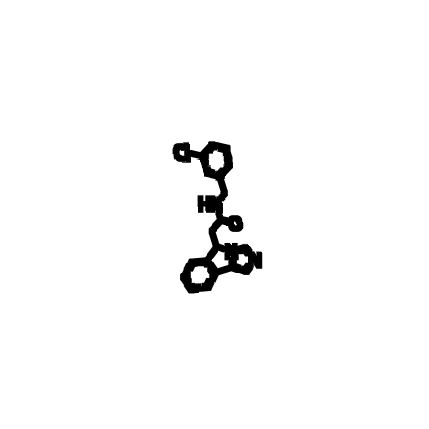 O=C(CC1c2ccccc2-c2cncn21)NCc1cccc(Cl)c1